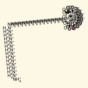 O=[P]([O-])([O-])[Mo-6]([P](=O)([O-])[O-])([P](=O)([O-])[O-])([P](=O)([O-])[O-])([P](=O)([O-])[O-])([P](=O)([O-])[O-])([P](=O)([O-])[O-])([P](=O)([O-])[O-])([P](=O)([O-])[O-])([P](=O)([O-])[O-])([P](=O)([O-])[O-])[P](=O)([O-])[O-].[NH4+].[NH4+].[NH4+].[NH4+].[NH4+].[NH4+].[NH4+].[NH4+].[NH4+].[NH4+].[NH4+].[NH4+].[NH4+].[NH4+].[NH4+].[NH4+].[NH4+].[NH4+].[NH4+].[NH4+].[NH4+].[NH4+].[NH4+].[NH4+].[NH4+].[NH4+].[NH4+].[NH4+].[NH4+].[NH4+]